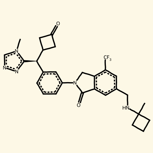 Cn1cnnc1[C@H](c1cccc(N2Cc3c(cc(CNC4(C)CCC4)cc3C(F)(F)F)C2=O)c1)C1CC(=O)C1